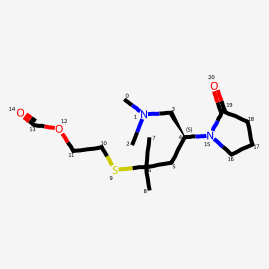 CN(C)C[C@H](CC(C)(C)SCCOC=O)N1CCCC1=O